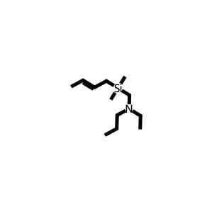 CC=CC[Si](C)(C)CN(CC)CCC